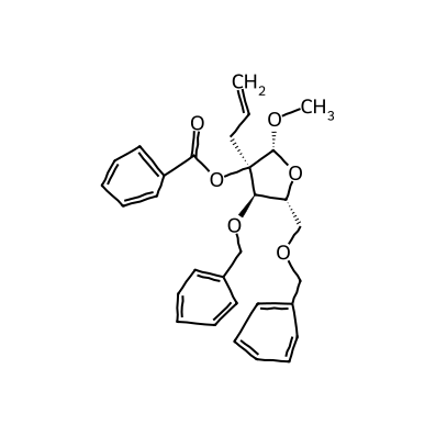 C=CC[C@]1(OC(=O)c2ccccc2)[C@H](OC)O[C@H](COCc2ccccc2)[C@H]1OCc1ccccc1